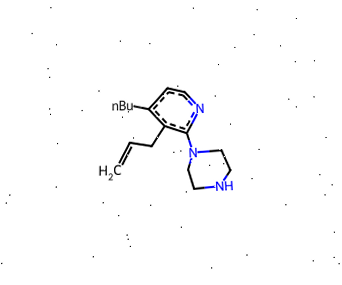 C=CCc1c(CCCC)ccnc1N1CCNCC1